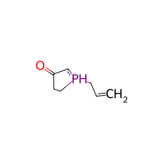 C=CC[PH]1=CC(=O)CC1